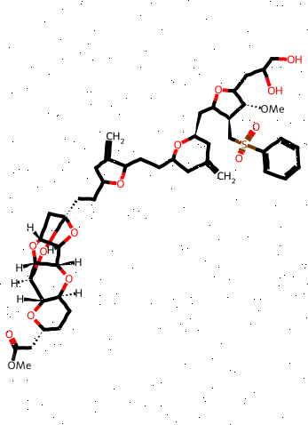 C=C1CC(CCC2OC(CC[C@@]34C[C@H]5O[C@H]6[C@@H](O3)[C@H]3O[C@@H](CC(=O)OC)CC[C@@H]3O[C@H]6[C@H]5O4)CC2=C)O[C@@H](CC2OC(CC(O)CO)[C@H](OC)[C@H]2CS(=O)(=O)c2ccccc2)C1